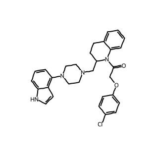 O=C(COc1ccc(Cl)cc1)N1c2ccccc2CCC1CN1CCN(c2cccc3[nH]ccc23)CC1